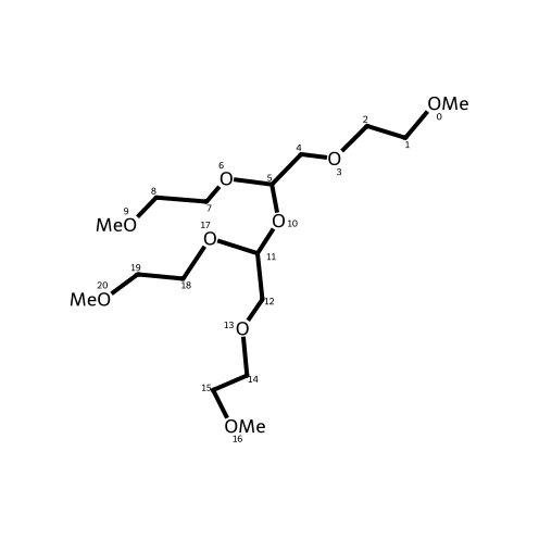 COCCOCC(OCCOC)OC(COCCOC)OCCOC